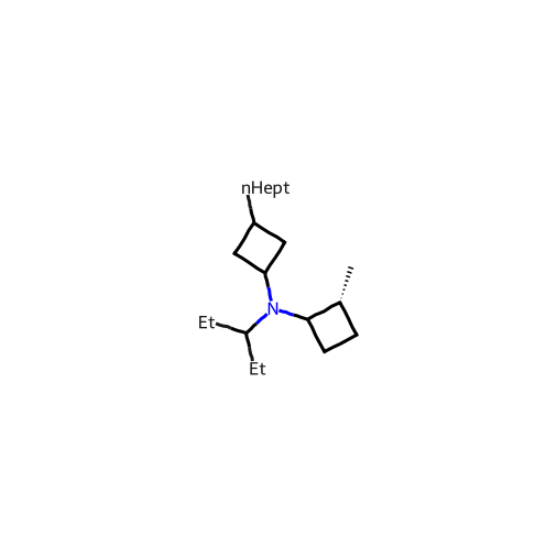 CCCCCCCC1CC(N(C(CC)CC)C2CC[C@H]2C)C1